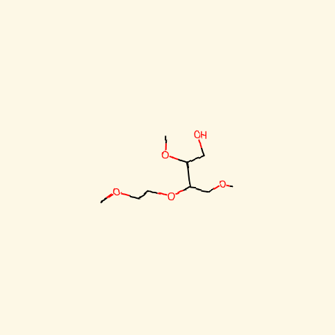 COCCOC(COC)C(CO)OC